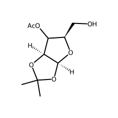 CC(=O)OC1[C@@H](CO)O[C@H]2OC(C)(C)O[C@@H]12